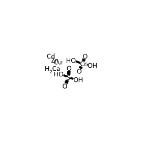 O=S(=O)(O)O.[CaH2].[Cd].[Cu].[O]=[Cr](=[O])([OH])[OH].[Zn]